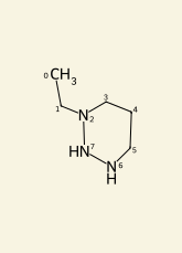 CCN1CCCNN1